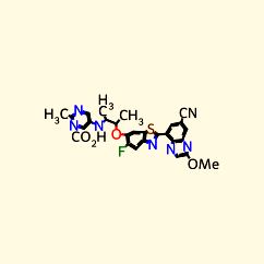 COc1cnc2c(-c3nc4cc(F)c(OC(C)C(C)N(C(=O)O)c5cnc(C)nc5)cc4s3)cc(C#N)cc2n1